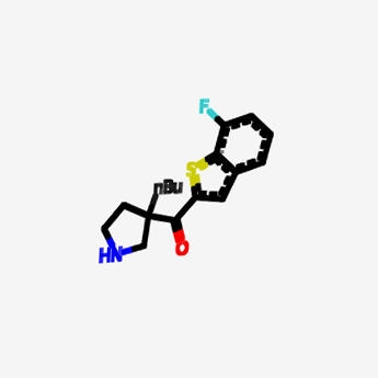 CCCCC1(C(=O)c2cc3cccc(F)c3s2)CCNC1